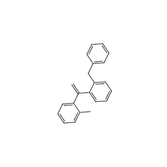 C=C(c1ccccc1C)c1ccccc1Cc1ccccc1